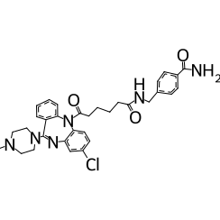 CN1CCN(C2=Nc3cc(Cl)ccc3N(C(=O)CCCCC(=O)NCc3ccc(C(N)=O)cc3)c3ccccc32)CC1